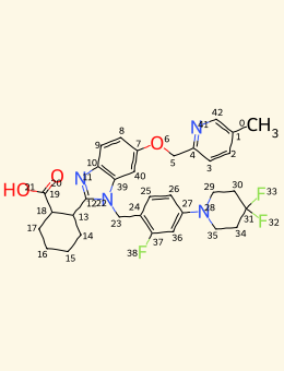 Cc1ccc(COc2ccc3nc(C4CCCCC4C(=O)O)n(Cc4ccc(N5CCC(F)(F)CC5)cc4F)c3c2)nc1